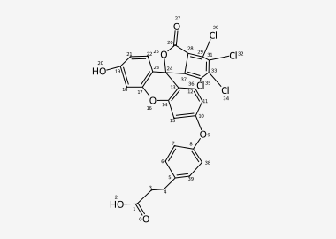 O=C(O)CCc1ccc(Oc2ccc3c(c2)Oc2cc(O)ccc2C32OC(=O)c3c(Cl)c(Cl)c(Cl)c(Cl)c32)cc1